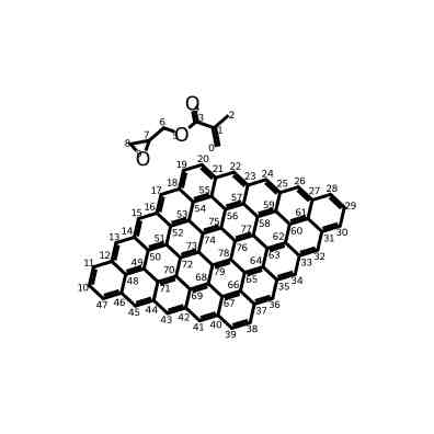 C=C(C)C(=O)OCC1CO1.c1cc2cc3cc4cc5ccc6cc7cc8cc9cccc%10cc%11cc%12cc%13ccc%14cc%15cc%16cc(c1)c2c1c3c2c4c3c5c6c4c7c5c8c(c9%10)c%11c6c%12c7c%13c%14c8c%15c(c%161)c2c1c3c4c(c56)c7c81